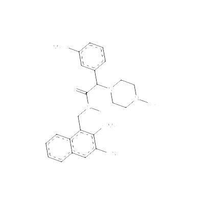 COc1cccc(C(C(=O)N(C)Cc2c(OC)c(C#N)cc3ccccc23)N2CCN(C(C)(C)C)CC2)c1